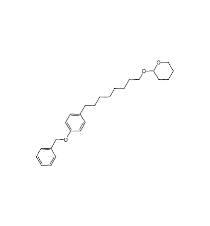 c1ccc(COc2ccc(CCCCCCCCOC3CCCCO3)cc2)cc1